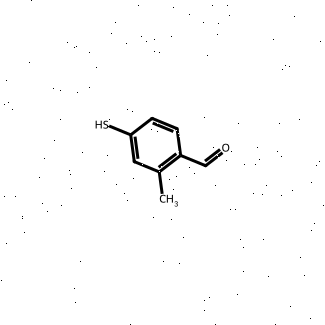 Cc1cc(S)ccc1C=O